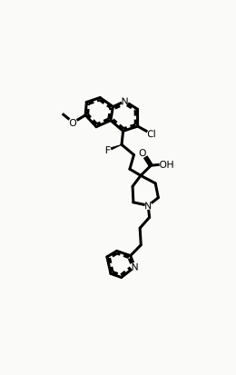 COc1ccc2ncc(Cl)c([C@H](F)CCC3(C(=O)O)CCN(CCCc4ccccn4)CC3)c2c1